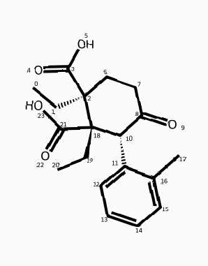 CC[C@]1(C(=O)O)CCC(=O)[C@H](c2ccccc2C)[C@]1(CC)C(=O)O